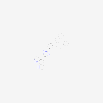 C1=C/c2ccccc2-c2c(ccc3ccccc23)/C(c2cccc(-c3ncc(-c4cc5cccnc5c5ncccc45)cn3)c2)=C/1